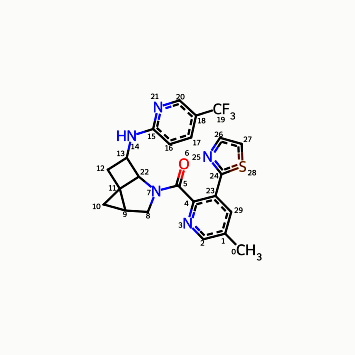 Cc1cnc(C(=O)N2CC3CC34CC(Nc3ccc(C(F)(F)F)cn3)C24)c(-c2nccs2)c1